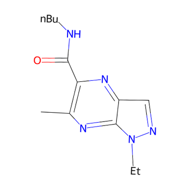 CCCCNC(=O)c1nc2cnn(CC)c2nc1C